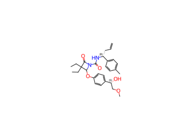 C=CC[C@@H](NC(=O)N1C(=O)C(CC)(CC)C1Oc1ccc([C@H](O)COC)cc1)c1ccc(C)cc1